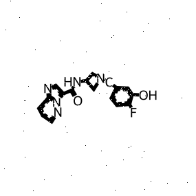 O=C(NC1CN(Cc2ccc(F)c(O)c2)C1)c1cnc2cccnn12